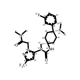 CN(C)C(=O)Cn1nc(C(F)(F)F)cc1N1C[C@]2(CC[C@@](c3cccc(F)c3)(N(C)C)CC2)NC1=O